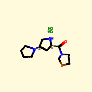 Cl.Cl.O=C([C@@H]1C[C@H](N2CCCC2)CN1)N1CCSC1